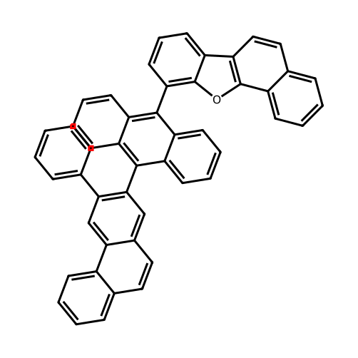 c1ccc(-c2cc3c(ccc4ccccc43)cc2-c2c3ccccc3c(-c3cccc4c3oc3c5ccccc5ccc43)c3ccccc23)cc1